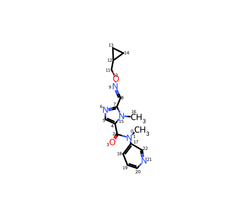 CN(C(=O)c1cnc(/C=N/OCC2CC2)n1C)c1cccnc1